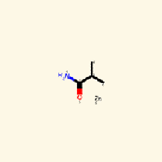 CC(C)C(N)=O.[Zn]